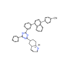 N#Cc1ccc(-c2ccc(-c3cccc(-c4nc(-c5ccccc5)nc(C5CC[C@H]6N=CC=CC6C5)n4)c3)c3ccccc23)cc1